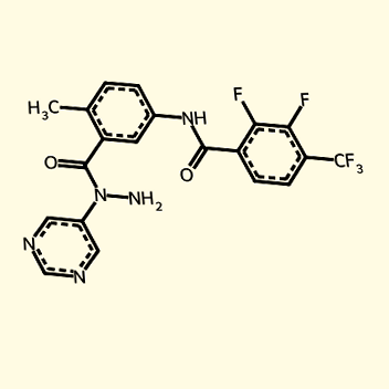 Cc1ccc(NC(=O)c2ccc(C(F)(F)F)c(F)c2F)cc1C(=O)N(N)c1cncnc1